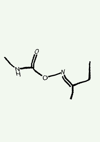 CCC(C)=NOC(=O)NC